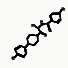 CC(C)c1ccc(C(=O)NC(C(=O)N2CCC(c3ccc(Cl)cc3)CC2)C(C)C)cc1